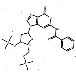 C[Si](C)(C)OC[C@H]1OC(n2cnc3c(=O)[nH]c(NC(=O)c4ccccc4)nc32)CC1O[Si](C)(C)C